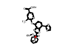 COC(=O)c1cnc(Oc2ccc(-c3nccs3)c3oc(N4CC5CC(C4)N5C(=O)OC(C)(C)C)nc23)c(C(F)(F)F)c1